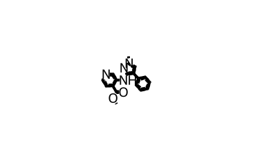 COC(=O)c1ccncc1Nc1nn(C)cc1-c1ccccc1